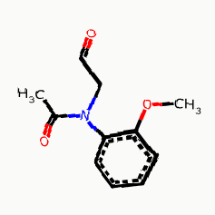 COc1ccccc1N(CC=O)C(C)=O